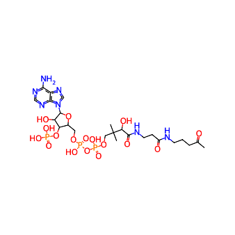 CC(=O)CCCNC(=O)CCNC(=O)C(O)C(C)(C)COP(=O)(O)OP(=O)(O)OCC1OC(n2cnc3c(N)ncnc32)C(O)C1OP(=O)(O)O